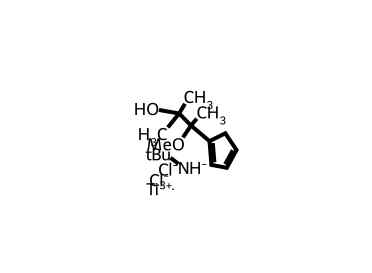 CC(C)(C)[NH-].COC(C)(C1=CC=CC1)C(C)(C)O.[Cl-].[Cl-].[Ti+3]